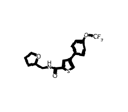 O=C(NCC1CCCO1)c1cc(-c2ccc(OC(F)(F)F)cc2)cs1